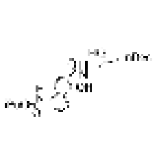 CCCCCCCCCCCCC(O)CCNC(=O)c1ccc2c(NC(=O)OCC(C)C)cccc2c1O